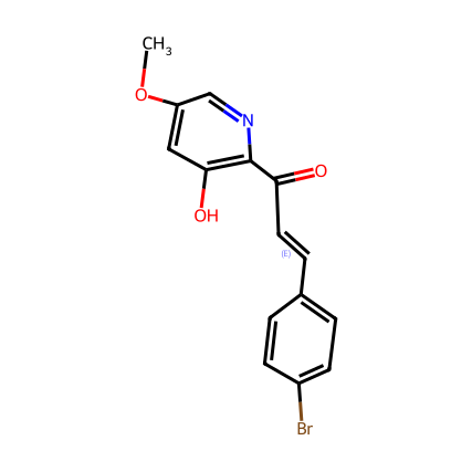 COc1cnc(C(=O)/C=C/c2ccc(Br)cc2)c(O)c1